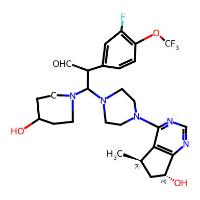 C[C@@H]1C[C@@H](O)c2ncnc(N3CCN(C(C(C=O)c4ccc(OC(F)(F)F)c(F)c4)N4CCC(O)CC4)CC3)c21